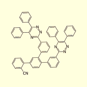 N#Cc1ccccc1-c1ccc(-c2cccc(-c3nnc(-c4ccccc4)c(-c4ccccc4)n3)c2)c(-c2cccc(-c3nnc(-c4ccccc4)c(-c4ccccc4)n3)c2)c1